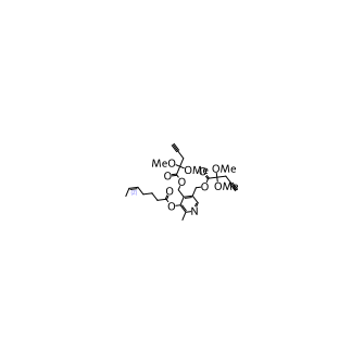 C#CCC(OC)(OC)C(=O)OCc1cnc(C)c(OC(=O)CCC/C=C\C)c1COC(=O)C(CC#C)(OC)OC